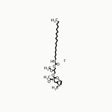 CCCCCCCCCCCCCCCCCCNC(=O)OCC(COC(=O)N(Cc1scc[n+]1C)C(C)=O)OC.[I-]